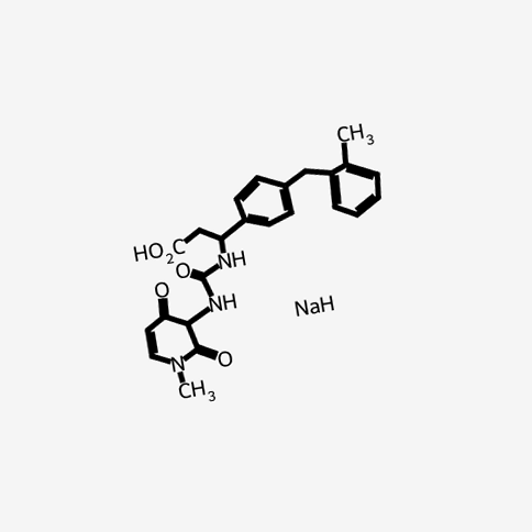 Cc1ccccc1Cc1ccc(C(CC(=O)O)NC(=O)NC2C(=O)C=CN(C)C2=O)cc1.[NaH]